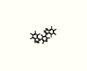 Cc1nc(C)c(-n2nnc3c(C)c(C)c(C)c(C)c32)c(C)c1-n1nnc2c(C)c(C)c(C)c(C)c21